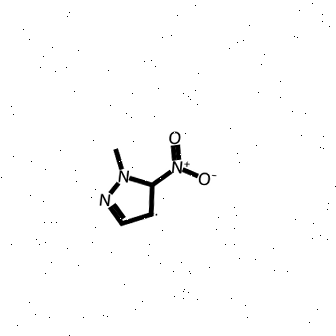 CN1N=C[CH]C1[N+](=O)[O-]